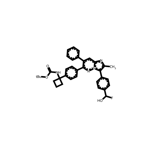 Cc1nc2cc(-c3ccccc3)c(-c3ccc(C4(NC(=O)OC(C)(C)C)CCC4)cc3)nn2c1-c1ccc(C(O)F)cc1